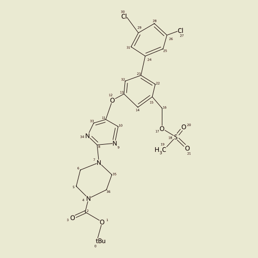 CC(C)(C)OC(=O)N1CCN(c2ncc(Oc3cc(COS(C)(=O)=O)cc(-c4cc(Cl)cc(Cl)c4)c3)cn2)CC1